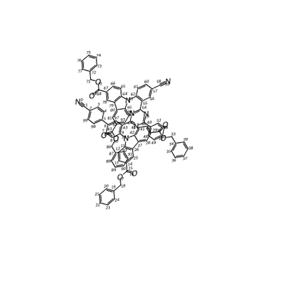 N#Cc1ccc(-c2ccc(-n3c4ccc(C(=O)OCc5ccccc5)cc4c4cc(C(=O)OCc5ccccc5)ccc43)c(-c3nc(-c4ccccc4)nc(-c4cc(C#N)ccc4-n4c5ccc(C(=O)OCc6ccccc6)cc5c5cc(C(=O)OCc6ccccc6)ccc54)n3)c2)cc1